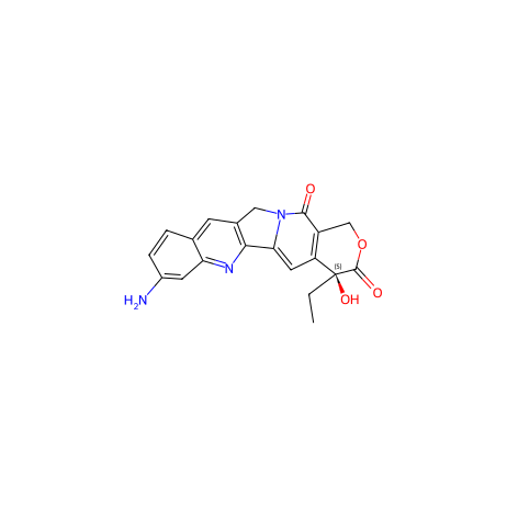 CC[C@@]1(O)C(=O)OCc2c1cc1n(c2=O)Cc2cc3ccc(N)cc3nc2-1